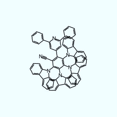 N#Cc1c(-c2cc(-c3ccccc3)nc(-c3ccccc3)c2)c(-n2c3ccccc3c3ccccc32)c(-n2c3ccccc3c3ccccc32)c(-n2c3ccccc3c3ccccc32)c1-n1c2ccccc2c2ccccc21